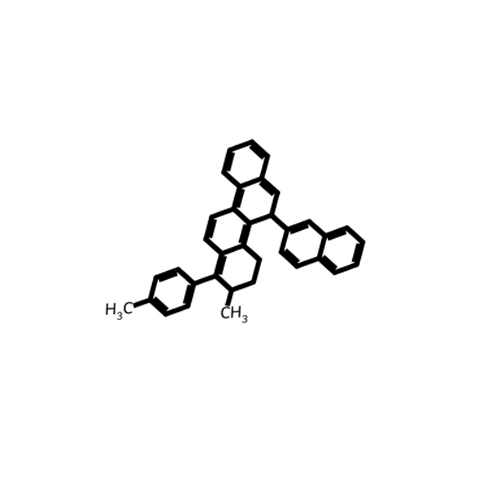 Cc1ccc(C2=c3ccc4c(c3CCC2C)C(c2ccc3ccccc3c2)C=c2ccccc2=4)cc1